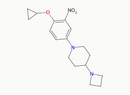 O=[N+]([O-])c1cc(N2CCC(N3CCC3)CC2)ccc1OC1CC1